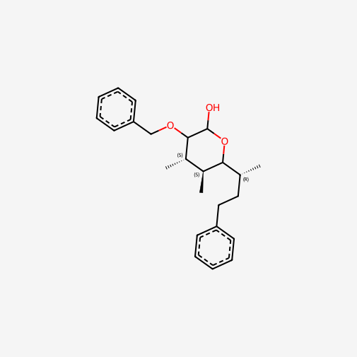 C[C@H](CCc1ccccc1)C1OC(O)C(OCc2ccccc2)[C@@H](C)[C@@H]1C